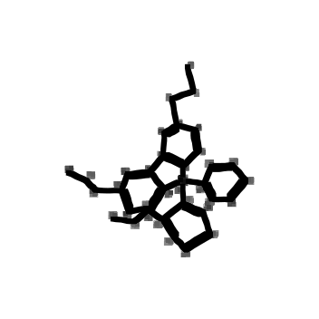 CCCc1ccc2c(c1)-c1cc(CCC)ccc1[Si]2(c1ccccc1)c1ccccc1CCC